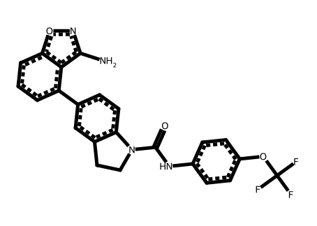 Nc1noc2cccc(-c3ccc4c(c3)CCN4C(=O)Nc3ccc(OC(F)(F)F)cc3)c12